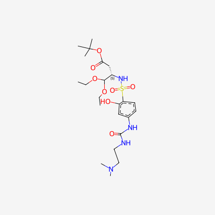 CCOC(OCC)[C@H](CC(=O)OC(C)(C)C)NS(=O)(=O)c1ccc(NC(=O)NCCN(C)C)cc1O